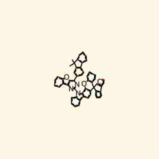 CC1(C)c2ccccc2-c2ccc(-c3nc(-n4c5ccccc5c5ccc6c(c54)Oc4ccccc4C64c5ccccc5-c5ccccc54)nc4c3oc3ccccc34)cc21